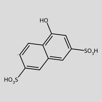 O=S(=O)(O)c1[c]cc2c(O)cc(S(=O)(=O)O)cc2c1